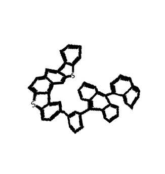 c1cc(-c2ccc3sc4ccc5cc6c(cc5c4c3c2)sc2ccccc26)cc(-c2c3ccccc3c(-c3cccc4ccccc34)c3ccccc23)c1